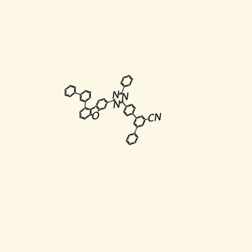 N#Cc1cc(-c2ccccc2)cc(-c2ccc(-c3nc(-c4ccccc4)nc(-c4ccc5c(c4)oc4cccc(-c6cccc(-c7ccccc7)c6)c45)n3)cc2)c1